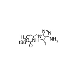 C=CC(Cn1cc(I)c2c(N)ncnc21)NC(=O)OC(C)(C)C